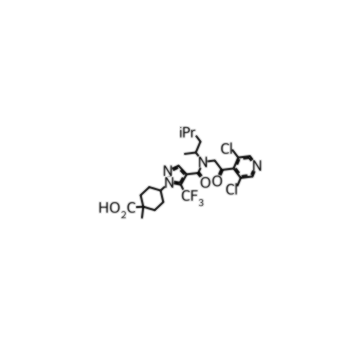 CC(C)CC(C)N(CC(=O)c1c(Cl)cncc1Cl)C(=O)c1cnn(C2CCC(C)(C(=O)O)CC2)c1C(F)(F)F